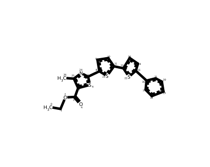 CCOC(=O)c1sc(-c2ccc(-c3ccc(-c4ccccc4)s3)s2)nc1C